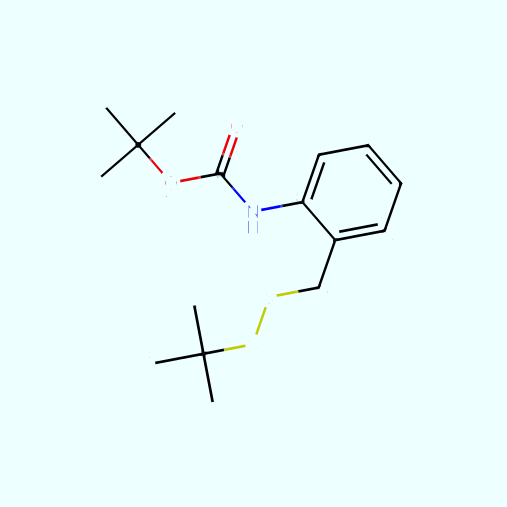 CC(C)(C)OC(=O)Nc1ccccc1CSSC(C)(C)C